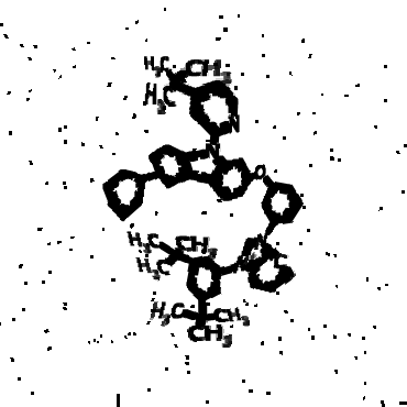 CC(C)(C)c1cc(-[n+]2cn(-c3cccc(Oc4ccc5c6cc(-c7ccccc7)ccc6n(-c6cc(C(C)(C)C)ccn6)c5c4)c3)c3ccccc32)cc(C(C)(C)C)c1